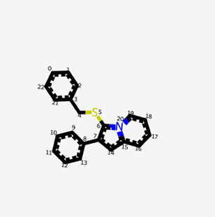 c1ccc(CSc2c(-c3ccccc3)cc3ccccn23)cc1